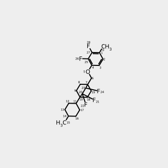 Cc1ccc(OCC23CCC(C4CCC(C)CC4)(CC2)C(F)(F)C3F)c(F)c1F